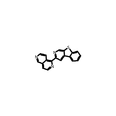 c1ccc2c(c1)sc1cnc(-c3nccc4cnccc34)cc12